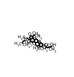 CC(C)CC(=O)N(C)CC(O)C12CC[C@]3(C)[C@H](CC[C@@H]4[C@@]5(C)CC[C@H](OC(=O)CC(C)(C)C(=O)O)C(C)(C)[C@@H]5CC[C@]43C)C1=C(C(C)C)C(=O)C2